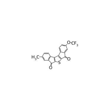 Cc1ccc2c(c1)c(=O)c1sc3c(=O)c4cc(OC(F)(F)F)ccc4c3c12